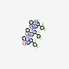 [O-][n+]1ccc2c(-c3ccc(F)cc3F)ccnc2c1-c1c(Cl)cccc1Cl.[O-][n+]1ccc2c(-c3ccc(F)cc3F)ccnc2c1-c1ccccc1Cl.[O-][n+]1ccc2c(-c3ccc(F)cc3F)ccnc2c1-c1ccccc1F